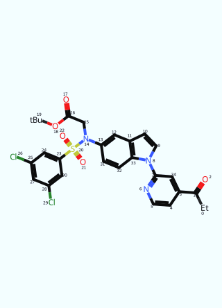 CCC(=O)c1ccnc(-n2ccc3cc(N(CC(=O)OC(C)(C)C)S(=O)(=O)c4cc(Cl)cc(Cl)c4)ccc32)c1